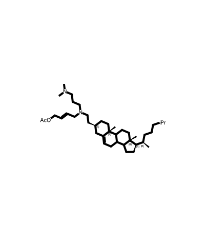 CC(=O)OCC=CCN(CCCN(C)C)CC[C@H]1CC[C@@]2(C)C(=CCC3C2CC[C@@]2(C)C3CC[C@@H]2[C@H](C)CCCC(C)C)C1